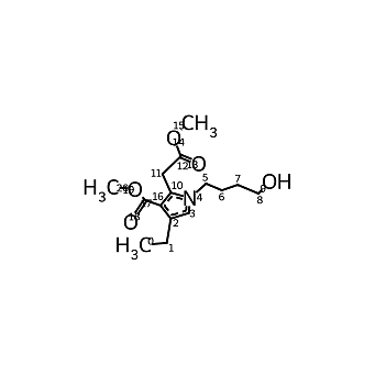 CCc1cn(CCCCO)c(CC(=O)OC)c1C(=O)OC